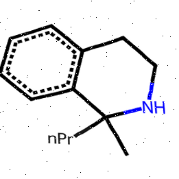 CCCC1(C)NCCc2ccccc21